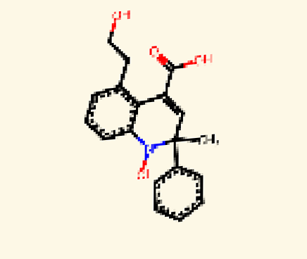 CC1(c2ccccc2)C=C(C(=O)O)c2c(CCO)cccc2N1O